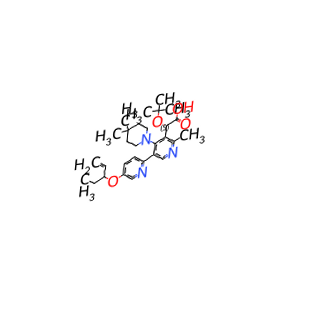 C=CC(CC)Oc1ccc(-c2cnc(C)c([C@H](OC(C)(C)C)C(=O)O)c2N2CCC(C)(C)CC2)nc1